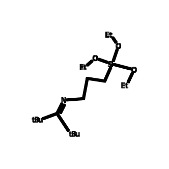 CCO[Si](CCCN=C(C(C)(C)C)C(C)(C)C)(OCC)OCC